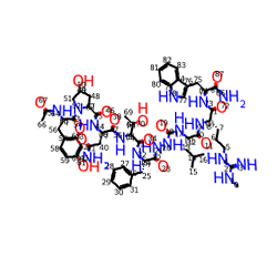 CNC(=N)NCCC[C@H](NC(=O)[C@H](CC(C)C)NC(=O)NNC(=O)[C@H](Cc1ccccc1)NC(=O)[C@@H](NC(=O)[C@@H](CC(N)=O)NC(=O)[C@@H]1C[C@@H](O)CN1C(=O)[C@@H](Cc1ccc(O)cc1)NC(C)=O)[C@@H](C)O)C(=O)N[C@@H](Cc1c[nH]c2ccccc12)C(N)=O